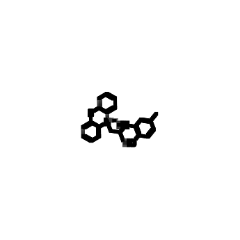 Cc1ccc(O)c(NC(C)C[N+]2(C)c3ccccc3Sc3ccccc32)c1